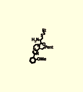 CCCC(C)C[C@H]1c2nc(-c3ccccc3OC)cn2CCN1C(=O)[C@@H](N)CSSCC